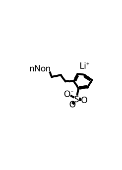 CCCCCCCCCCCCc1ccccc1S(=O)(=O)[O-].[Li+]